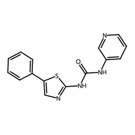 O=C(Nc1cccnc1)Nc1ncc(-c2ccccc2)s1